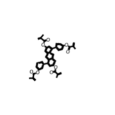 C=C(C)C(=O)Oc1ccc(-c2cc(OC(=O)C(=C)C)cc3cc4c(-c5cccc(OC(=O)C(=C)C)c5)cc(OC(=O)C(=C)C)cc4cc23)cc1